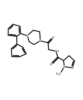 CN1N=CCC1C(=O)NCC(=O)N1CCN(c2ccccc2-c2ccccc2)CC1